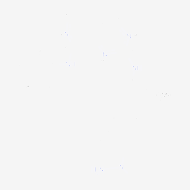 C/C=C\C(=C/N(C)N)c1ccc(Nc2ncc3ccnc(NC4CCCC4)c3n2)c(OC)c1